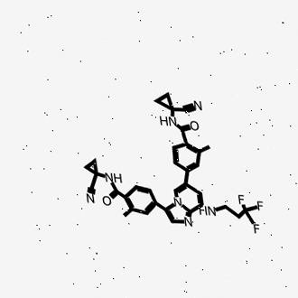 Cc1cc(-c2cc(NCCC(F)(F)F)c3ncc(-c4ccc(C(=O)NC5(C#N)CC5)c(C)c4)n3c2)ccc1C(=O)NC1(C#N)CC1